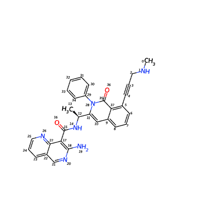 CNCC#Cc1cccc2cc([C@H](C)NC(=O)c3c(N)ncc4cccnc34)n(-c3ccccc3)c(=O)c12